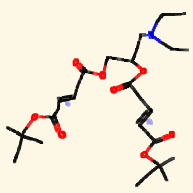 CCN(CC)CC(COC(=O)/C=C/C(=O)OC(C)(C)C)OC(=O)/C=C/C(=O)OC(C)(C)C